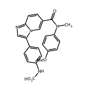 COc1ccc(N(C)C(=O)c2ccc3ncc(-c4ccc(NC(=O)O)cc4)n3c2)cc1